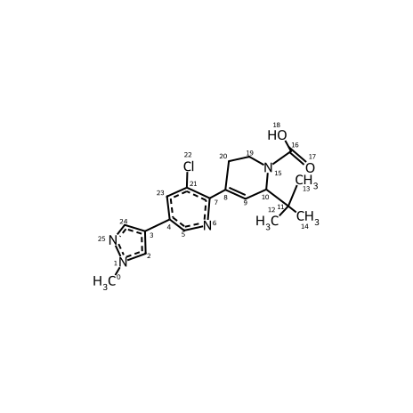 Cn1cc(-c2cnc(C3=CC(C(C)(C)C)N(C(=O)O)CC3)c(Cl)c2)cn1